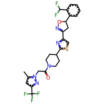 Cc1cc(C(F)(F)F)nn1CC(=O)N1CCC(c2nc(C3=NOC(c4[c]cccc4C(F)F)C3)cs2)CC1